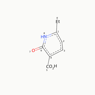 CCc1ccc(C(=O)O)c(=O)[nH]1